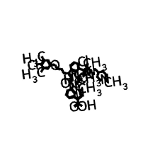 Cc1cc(OCCCc2c3n(c4c(-c5c(C)nn(CC6CCN(C)CC6)c5C)c(Cl)ccc24)[C@H](C)CN(c2cccc4c(C(=O)O)cn(C)c24)C3=O)cc(C)c1Cl